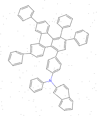 c1ccc(-c2ccc3c(c2)c2cc(-c4ccccc4)ccc2c2c(-c4ccccc4)c(-c4ccccc4)cc(-c4ccc(N(c5ccccc5)c5ccc6ccccc6c5)cc4)c32)cc1